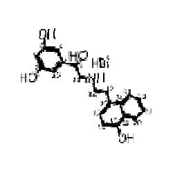 Br.Oc1cc(O)cc(C(O)CNCCc2ccc(O)c3ccccc23)c1